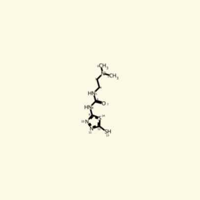 CN(C)CCNC(=O)Nc1nnc(S)s1